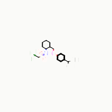 CC(C)c1ccc(OCC2CCCCC2NS(=O)(=O)CC(F)(F)F)cc1